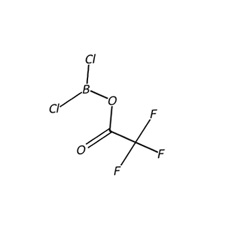 O=C(OB(Cl)Cl)C(F)(F)F